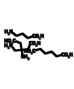 NCC(N)(CC(=O)O)CC(=O)O.NCCCC(=O)O.O=C(O)CCCCC(=O)O